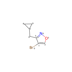 Brc1conc1CC1CC1